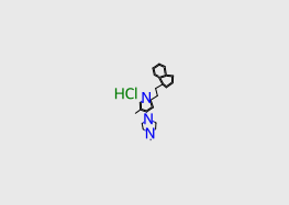 Cc1cnc(CCc2cccc3ccccc23)cc1N1CCN(C)CC1.Cl